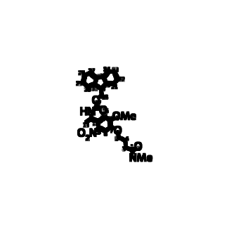 CNC(=O)CCCOc1cc([N+](=O)[O-])c(C(C)NC(=O)OCC2c3ccccc3-c3ccccc32)cc1OC